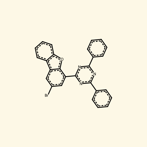 Brc1cc(-c2nc(-c3ccccc3)nc(-c3ccccc3)n2)c2oc3ccccc3c2c1